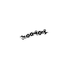 C=CC(=O)COc1ccc(-c2ccc(CCC(=O)Oc3ccc(COC(=O)C(=C)C)cc3)cc2)cc1